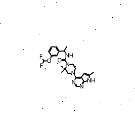 Cc1cc2c(N3CCN(C(=O)NC(C)c4cccc(OC(F)F)c4)C(C)(C)C3)ncnc2[nH]1